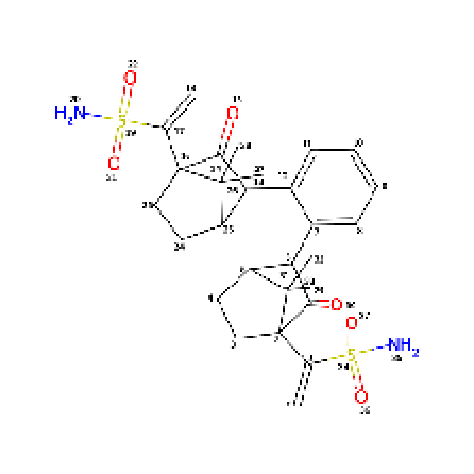 C=C(C12CCC(C(c3ccccc3C3C(=O)C4(C(=C)S(N)(=O)=O)CCC3C4(C)C)C1=O)C2(C)C)S(N)(=O)=O